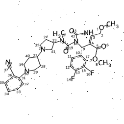 COCC1=C(C(=O)OC)[C@H](c2ccc(F)c(F)c2)N(C(=O)N(C)C2CCN(C3CCN(c4ccccc4C#N)CC3)C2)C(=O)N1